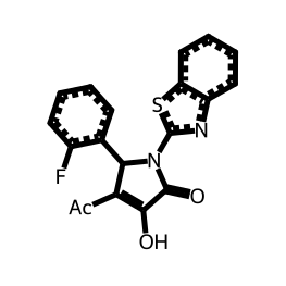 CC(=O)C1=C(O)C(=O)N(c2nc3ccccc3s2)C1c1ccccc1F